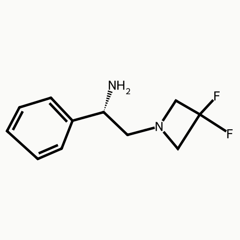 N[C@H](CN1CC(F)(F)C1)c1ccccc1